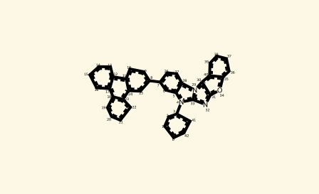 c1ccc(-n2c3cc(-c4ccc5c6ccccc6c6ccccc6c5c4)ccc3n3c4c(nc23)oc2ccccc24)cc1